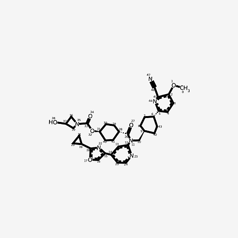 COc1ccc([C@H]2CC[C@H](CN(c3cc(-c4coc(C5CC5)n4)ccn3)C(=O)[C@H]3CC[C@H](OC(=O)N4CC(O)C4)CC3)CC2)nc1C#N